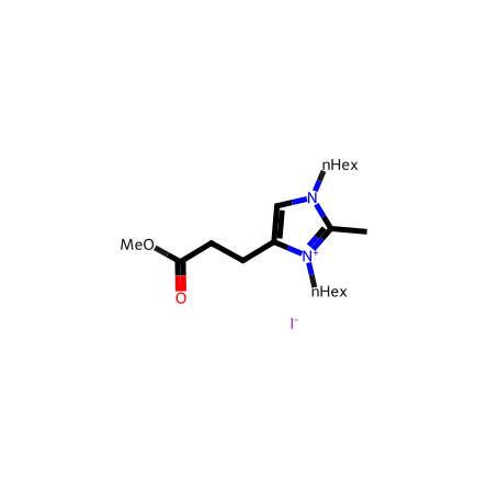 CCCCCCn1cc(CCC(=O)OC)[n+](CCCCCC)c1C.[I-]